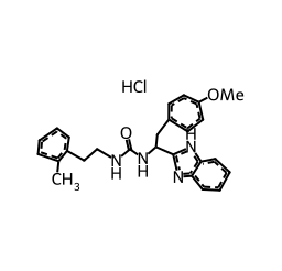 COc1ccc(CC(NC(=O)NCCc2ccccc2C)c2nc3ccccc3[nH]2)cc1.Cl